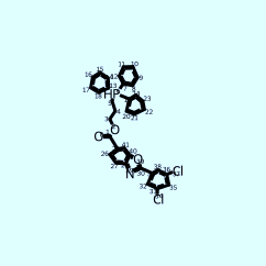 O=C(OCCC[PH](c1ccccc1)(c1ccccc1)c1ccccc1)c1ccc2nc(-c3cc(Cl)cc(Cl)c3)oc2c1